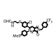 CSc1ccc(-n2nc3c(=O)n(Cc4ccc(C(F)(F)F)cc4)nc-3cc2-c2ccc(SCCNC=O)cc2Cl)cc1